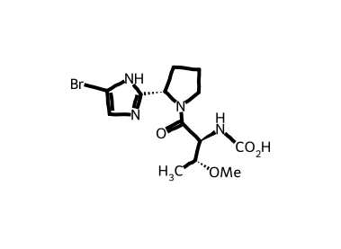 CO[C@H](C)[C@H](NC(=O)O)C(=O)N1CCC[C@H]1c1ncc(Br)[nH]1